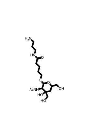 CC(=O)NC1C(OCCCCC(=O)NCCCN)OC(CO)CC1(O)CO